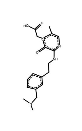 Cc1cnc(NCCc2cccc(CN(C)C)c2)c(=O)n1CC(=O)O